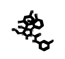 CC(C)(C)C[C@@H]1N[C@@H](C(=O)Nc2cccc(F)c2)[C@H](c2cccc(Cl)c2F)[C@@]1(C#N)c1ccc(Cl)cc1F